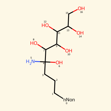 CCCCCCCCCCCCC(N)(O)C(O)C(O)C(O)C(O)CO